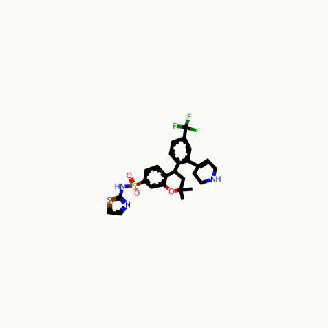 CC1(C)CC(c2ccc(C(F)(F)F)cc2C2=CCNCC2)c2ccc(S(=O)(=O)Nc3nccs3)cc2O1